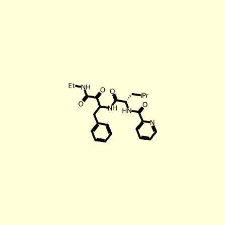 CCNC(=O)C(=O)C(Cc1ccccc1)NC(=O)[C@H](CC(C)C)NC(=O)c1ccccn1